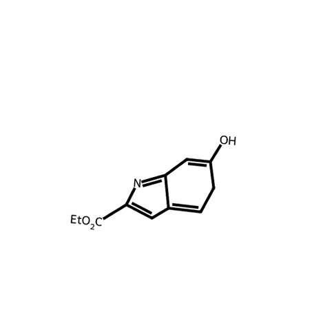 CCOC(=O)C1=CC2=CCC(O)=CC2=N1